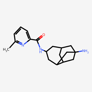 Cc1cccc(C(=O)NC2CC3CC4CC(N)(C3)CC4C2)n1